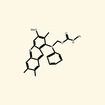 COc1cc2nc3cc(C)c(C)cc3cc2c(N(COC(=O)NC(C)C)c2ccccc2)c1C